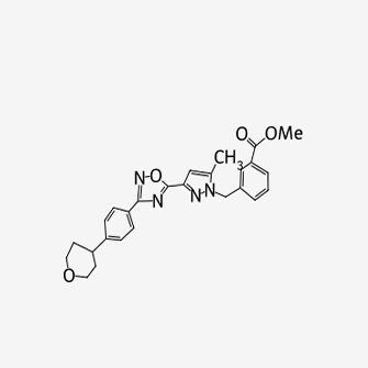 COC(=O)c1cccc(Cn2nc(-c3nc(-c4ccc(C5CCOCC5)cc4)no3)cc2C)c1